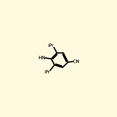 CC(C)c1cc(C#N)cc(C(C)C)c1[NH]